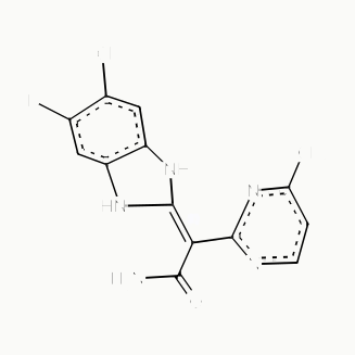 NC(=O)/C(=C1\Nc2cc(F)c(Cl)cc2N1)c1nccc(C(F)(F)F)n1